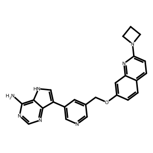 Nc1ncnc2c(-c3cncc(COc4ccc5ccc(N6CCC6)nc5c4)c3)c[nH]c12